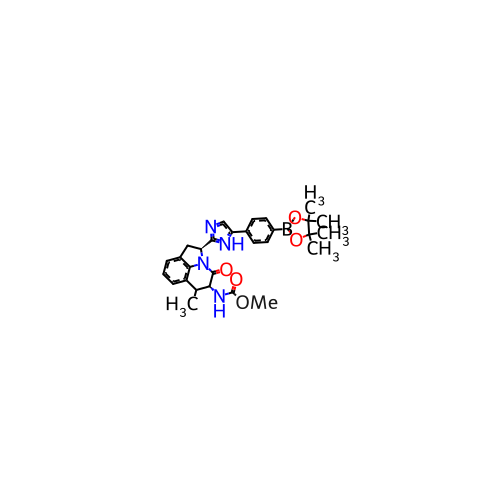 COC(=O)N[C@@H]1C(=O)N2c3c(cccc3C1C)C[C@H]2c1ncc(-c2ccc(B3OC(C)(C)C(C)(C)O3)cc2)[nH]1